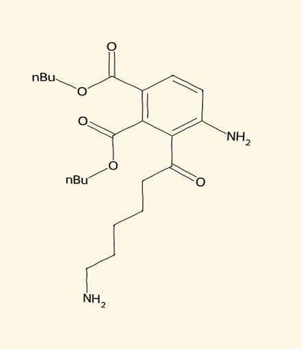 CCCCOC(=O)c1ccc(N)c(C(=O)CCCCCN)c1C(=O)OCCCC